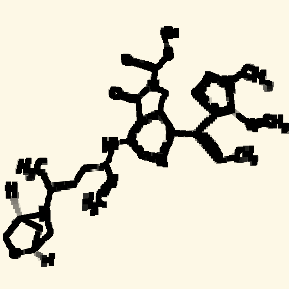 C=N/C(=C\C=C(/C)N1C[C@@H]2C[C@H]1CO2)Nc1cnc(/C(=C/C)c2ccn(C)c2N=C)c2c1C(=O)N(C(=O)OC(C)(C)C)C2